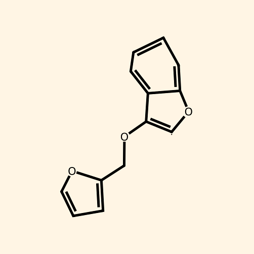 [c]1oc2ccccc2c1OCc1ccco1